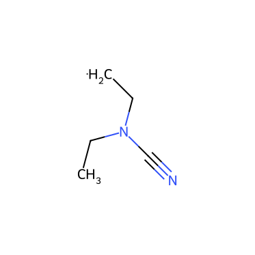 [CH2]CN(C#N)CC